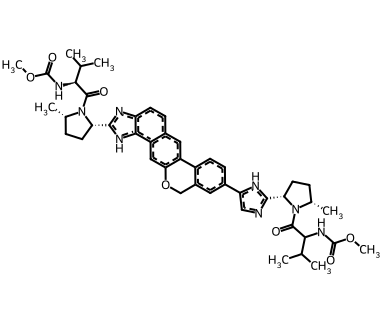 COC(=O)NC(C(=O)N1[C@@H](C)CC[C@H]1c1ncc(-c2ccc3c(c2)COc2cc4c(ccc5nc([C@@H]6CC[C@H](C)N6C(=O)[C@@H](NC(=O)OC)C(C)C)[nH]c54)cc2-3)[nH]1)C(C)C